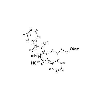 COCCCCc1c(C(=O)N(CC(C)C)[C@H]2CCCNC2)nnn1-c1ccccc1.Cl